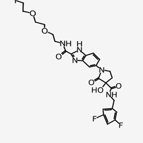 O=C(NCCOCCOCCI)c1nc2cc(N3CCC(O)(C(=O)NCc4cc(F)cc(F)c4)C3=O)ccc2[nH]1